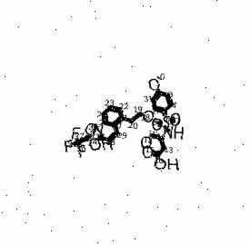 COc1ccc(S(=O)(=O)NC(C=O)CC(=O)O)c(OCCc2cccc3ncccc23)c1.O=C(O)C(F)(F)F